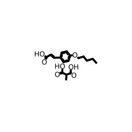 CC(C(=O)O)C(=O)O.CCCCCOc1ccc(/C=C/C(=O)O)cc1